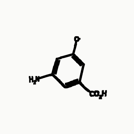 Nc1cc([O])cc(C(=O)O)c1